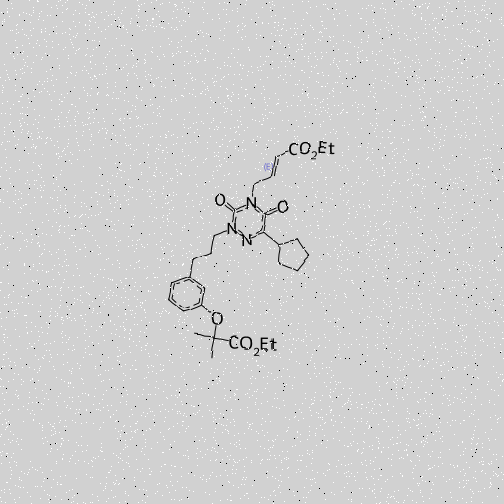 CCOC(=O)/C=C/Cn1c(=O)c(C2CCCC2)nn(CCCc2cccc(OC(C)(C)C(=O)OCC)c2)c1=O